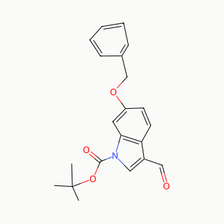 CC(C)(C)OC(=O)n1cc(C=O)c2ccc(OCc3ccccc3)cc21